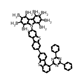 Bc1c(B)c(B)c2c(c1B)c1c(B)c(B)c(B)c(B)c1n2-c1ccc2c(c1)sc1cc(-c3ccc4c(c3)sc3cccc(-c5nc(-c6ccccc6)nc(-c6ccccc6)n5)c34)ccc12